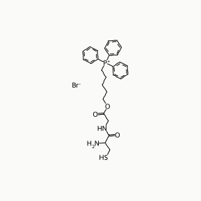 NC(CS)C(=O)NCC(=O)OCCCCC[P+](c1ccccc1)(c1ccccc1)c1ccccc1.[Br-]